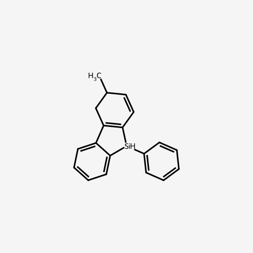 CC1C=CC2=C(C1)c1ccccc1[SiH]2c1ccccc1